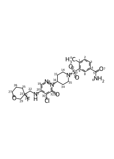 Cc1ccc(C(N)=O)cc1S(=O)(=O)N1CCC(n2ncc(NC[C@@]3(F)CCCOC3)c(Cl)c2=O)CC1